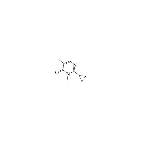 Cc1cnc(C2CC2)n(C)c1=O